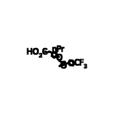 CCCc1cc(OCc2cc(-c3ccc(C(F)(F)F)cc3)oc2C)ccc1CCC(=O)O